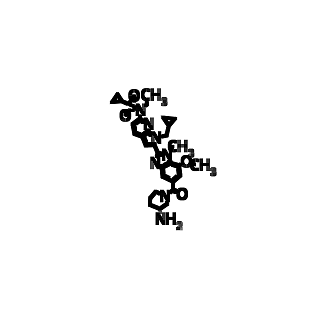 CCN(c1ccc2cc(-c3nc4cc(C(=O)N5CCC[C@@H](N)C5)cc(OC)c4n3C)n(CC3CC3)c2n1)S(=O)(=O)C1CC1